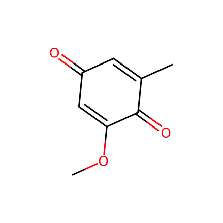 COC1=CC(=O)C=C(C)C1=O